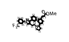 COC(=O)/C=C/c1ccc(C2CCCN2CCc2cn(-c3cccc(C(F)(F)F)c3)nc2-c2ccccc2)cc1